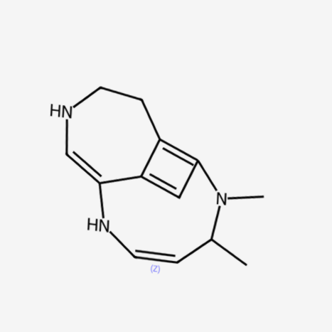 CC1/C=C\NC2=CNCCC3=C(C=C23)N1C